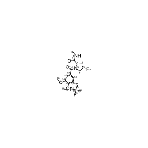 CNC(=O)[C@H]1C[C@H](F)CN1C(=O)c1cc(OC)c(OC)c(SC(F)(F)F)c1